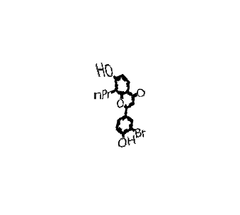 CCCc1c(O)ccc2c(=O)cc(-c3ccc(O)c(Br)c3)oc12